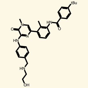 Cc1c(NC(=O)c2ccc(C(C)(C)C)cc2)cccc1-c1cn(C)c(=O)c(Nc2ccc(CNCCO)cc2)n1